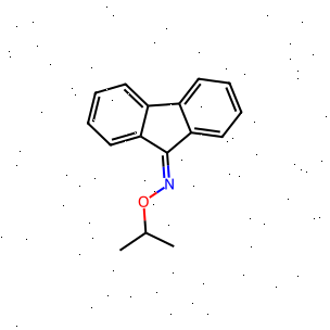 CC(C)ON=C1c2ccccc2-c2ccccc21